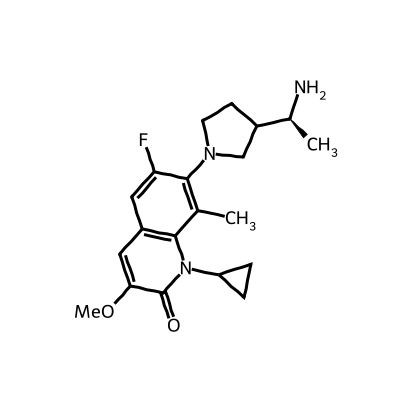 COc1cc2cc(F)c(N3CCC([C@H](C)N)C3)c(C)c2n(C2CC2)c1=O